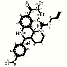 C=CCOC(=O)N1CCC[C@H]2C(c3ccc(OCC)cc3)Nc3ccc(C(=O)N(CC)CC)cc3[C@H]21